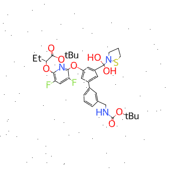 CCC(Oc1nc(Oc2cc(-c3cccc(CNC(=O)OC(C)(C)C)c3)cc(C(O)(O)N3CCCS3)c2)c(F)cc1F)C(=O)OC(C)(C)C